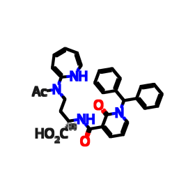 CC(=O)N(CC[C@H](NC(=O)c1cccn(C(c2ccccc2)c2ccccc2)c1=O)C(=O)O)C1=CC=CC=CN1